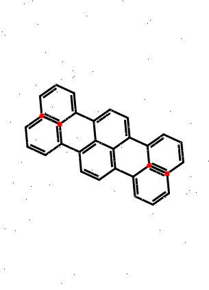 c1ccc(-c2ccc(-c3ccccc3)c3c(-c4ccccc4)ccc(-c4ccccc4)c23)cc1